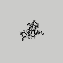 Nc1ccc(S(=O)(=O)c2ccccc2)cc1-c1ccccc1[N+](=O)[O-]